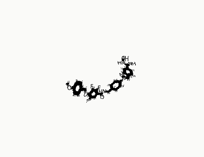 COc1ccc(COc2c(F)cc(C(=O)NCC3CCC(n4cc5ccc(C(=N)NO)cc5n4)CC3)c(F)c2F)cc1